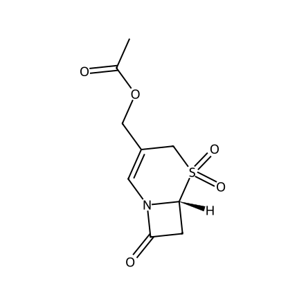 CC(=O)OCC1=CN2C(=O)C[C@H]2S(=O)(=O)C1